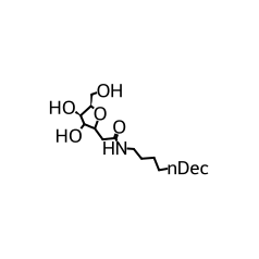 CCCCCCCCCCCCCCNC(=O)CC1O[C@H](CO)[C@H](O)C1O